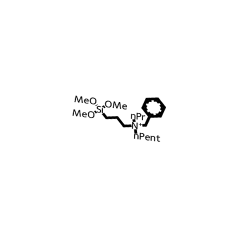 CCCCC[N+](CCC)(CCC[Si](OC)(OC)OC)Cc1ccccc1